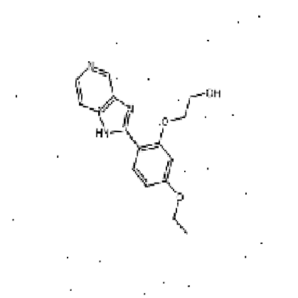 CCOc1ccc(-c2nc3cnccc3[nH]2)c(OCCO)c1